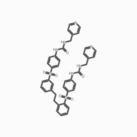 O=C(NCc1ccncc1)Nc1ccc(S(=O)(=O)c2cccc(CCc3ccccc3S(=O)(=O)c3ccc(NC(=O)NCc4ccncc4)cc3)c2)cc1